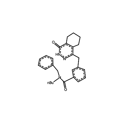 CCCCN(Cc1ccccc1)C(=O)c1cccc(Cc2n[nH]c(=O)c3c2CCCC3)c1